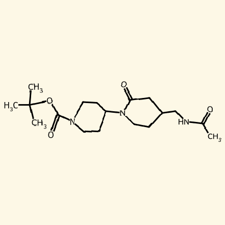 CC(=O)NCC1CCN(C2CCN(C(=O)OC(C)(C)C)CC2)C(=O)C1